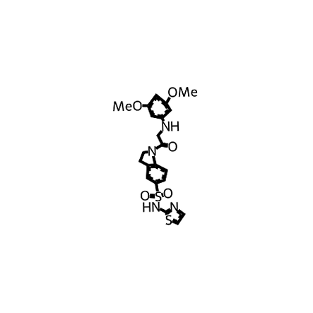 COc1cc(NCC(=O)N2CCc3cc(S(=O)(=O)Nc4nccs4)ccc32)cc(OC)c1